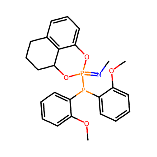 CN=P1(P(c2ccccc2OC)c2ccccc2OC)Oc2cccc3c2C(CCC3)O1